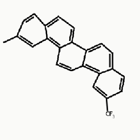 Cc1ccc2ccc3c(ccc4c5cc(C(F)(F)F)ccc5ccc43)c2c1